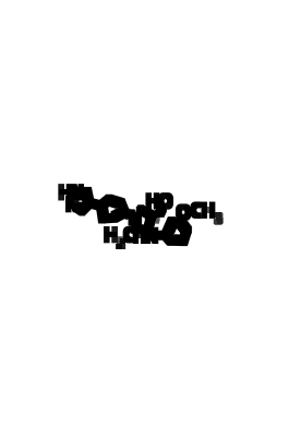 C=C1[C@@H](Nc2cccc(OC)c2)[C@H](CO)CN1c1ccc(-c2cn[nH]c2)cc1